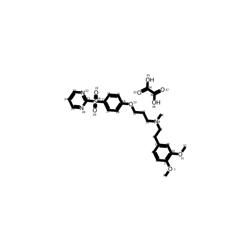 COc1ccc(CCN(C)CCCOc2ccc(S(=O)(=O)c3ncccn3)cc2)cc1OC.O=C(O)C(=O)O